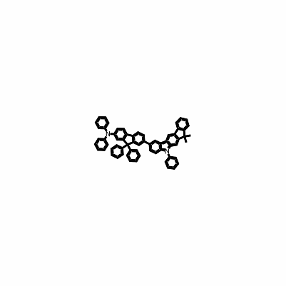 CC1(C)c2ccccc2-c2cc3c4cc(-c5ccc6c(c5)C(c5ccccc5)(c5ccccc5)c5cc(N(c7ccccc7)c7ccccc7)ccc5-6)ccc4n(-c4ccccc4)c3cc21